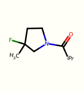 CC(C)C(=O)N1CCC(C)(F)C1